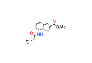 COC(=O)c1ccc2c(NC(=O)CC3CC3)nccc2c1